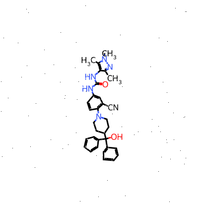 Cc1nn(C)c(C)c1NC(=O)Nc1ccc(N2CCC(C(O)(c3ccccc3)c3ccccc3)CC2)c(C#N)c1